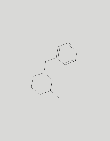 CC1CCCN(Cc2ccncc2)C1